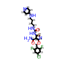 NC(=O)c1c(OCc2c(F)cc(Cl)cc2F)nsc1NC(=O)NCCCCNc1ccncc1